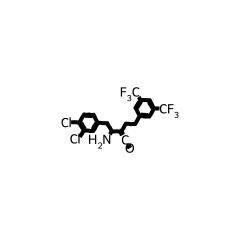 NC(Cc1ccc(Cl)c(Cl)c1)C(=C=O)CCc1cc(C(F)(F)F)cc(C(F)(F)F)c1